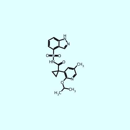 Cc1cnc(OC(C)C)c(C2(C(=O)NS(=O)(=O)c3cccc4[nH]ncc34)CC2)c1